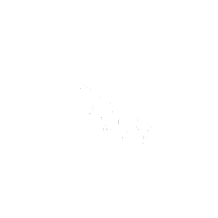 COc1ccc(CC2(O)CC2[Si](C)(C)C)cc1